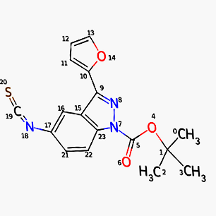 CC(C)(C)OC(=O)n1nc(-c2ccco2)c2cc(N=C=S)ccc21